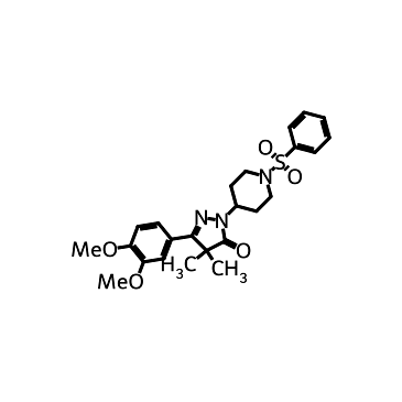 COc1ccc(C2=NN(C3CCN(S(=O)(=O)c4ccccc4)CC3)C(=O)C2(C)C)cc1OC